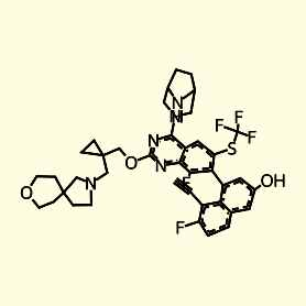 C#Cc1c(F)ccc2cc(O)cc(-c3c(SC(F)(F)F)cc4c(N5CC6CCC(C5)N6)nc(OCC5(CN6CCC7(CCOCC7)C6)CC5)nc4c3F)c12